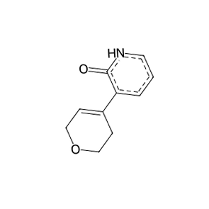 O=c1[nH]cccc1C1=CCOCC1